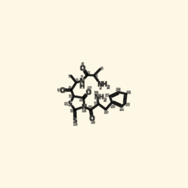 CC(N)C(=O)NC(C)C(=O)C1SC(=S)N(C(=O)C(N)Cc2ccccc2)C1=O